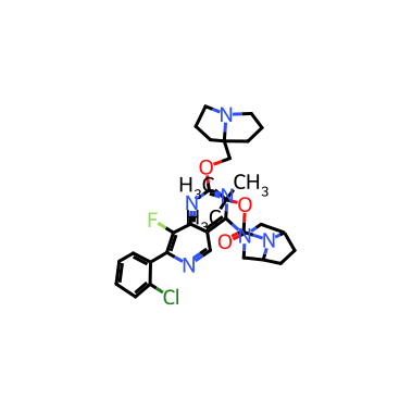 CC(C)(C)OC(=O)N1C2CCC1CN(c1nc(OCC34CCCN3CCC4)nc3c(F)c(-c4ccccc4Cl)ncc13)C2